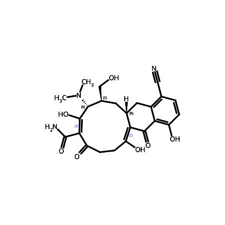 CN(C)[C@H]1/C(O)=C(/C(N)=O)C(=O)CC/C(O)=C2/C(=O)c3c(O)ccc(C#N)c3C[C@H]2C[C@@H]1CO